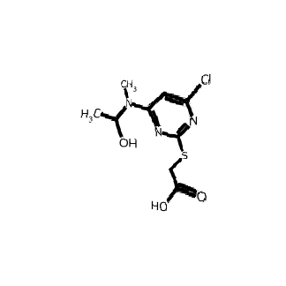 CC(O)N(C)c1cc(Cl)nc(SCC(=O)O)n1